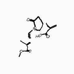 C=C(C)C(=O)O.C=C(C)C(=O)OC.C=CN1CCCC1=O